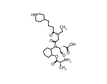 CCN(CC(=O)N(C1CCCCC1OC(=O)[C@H](C)N)[C@@H](C=O)CC(=O)O)C(=O)CCCC1CCNCC1